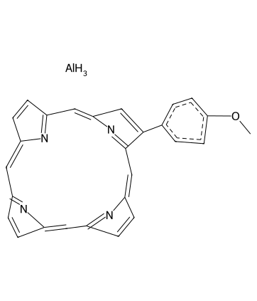 COc1ccc(C2=CC3=CC4=NC(=CC5=NC(=CC6=NC(=CC2=N3)C=C6)C=C5)C=C4)cc1.[AlH3]